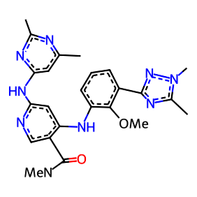 CNC(=O)c1cnc(Nc2cc(C)nc(C)n2)cc1Nc1cccc(-c2nc(C)n(C)n2)c1OC